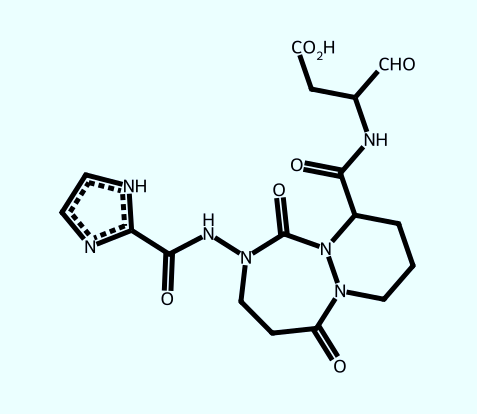 O=CC(CC(=O)O)NC(=O)C1CCCN2C(=O)CCN(NC(=O)c3ncc[nH]3)C(=O)N12